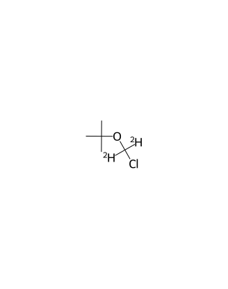 [2H]C([2H])(Cl)OC(C)(C)C